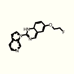 FCCOC1=CC2=CN=C(n3ccc4ccncc43)NC2C=C1